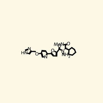 CNC(=O)[C@H](C1CCCCC1)N(N)C(=O)c1ccc(-c2ccc(OCc3c[nH]cn3)cn2)o1